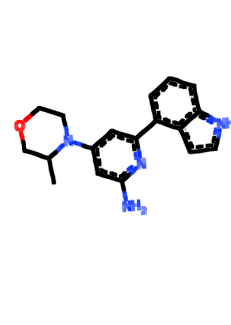 CC1COCCN1c1cc(N)nc(-c2cccc3[nH]ccc23)c1